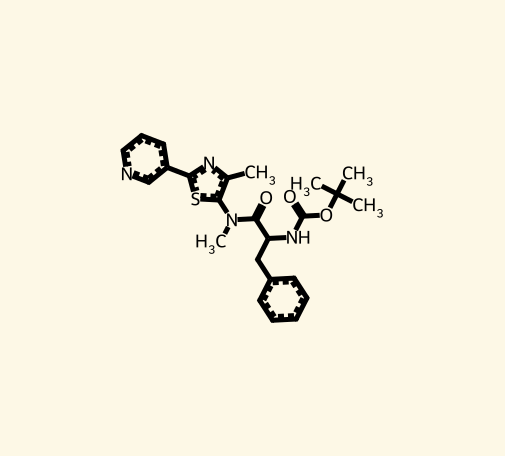 Cc1nc(-c2cccnc2)sc1N(C)C(=O)C(Cc1ccccc1)NC(=O)OC(C)(C)C